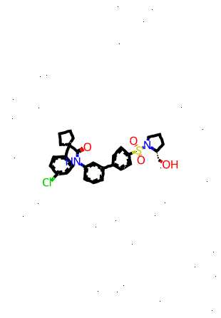 O=C(Nc1cccc(-c2ccc(S(=O)(=O)N3CCC[C@@H]3CO)cc2)c1)C1(c2ccc(Cl)cc2)CCCC1